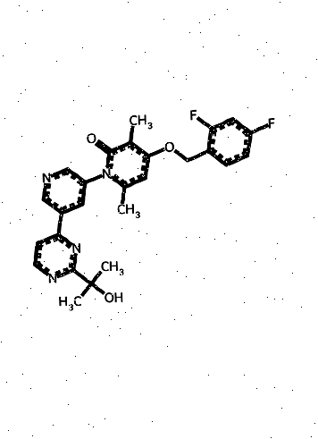 Cc1c(OCc2ccc(F)cc2F)cc(C)n(-c2cncc(-c3ccnc(C(C)(C)O)n3)c2)c1=O